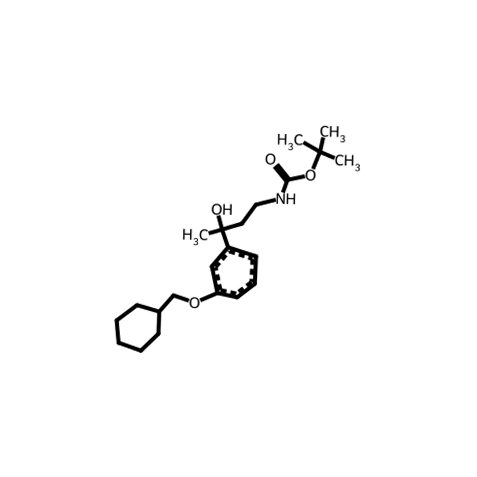 CC(C)(C)OC(=O)NCCC(C)(O)c1cccc(OCC2CCCCC2)c1